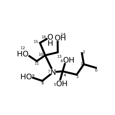 CC(C)CC(O)(O)N(CO)C(CO)(CO)CO